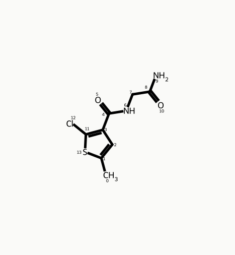 Cc1cc(C(=O)NCC(N)=O)c(Cl)s1